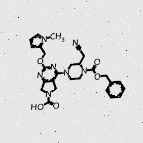 Cn1cccc1COc1nc2c(c(N3CCN(C(=O)OCc4ccccc4)C(CC#N)C3)n1)CN(C(=O)O)C2